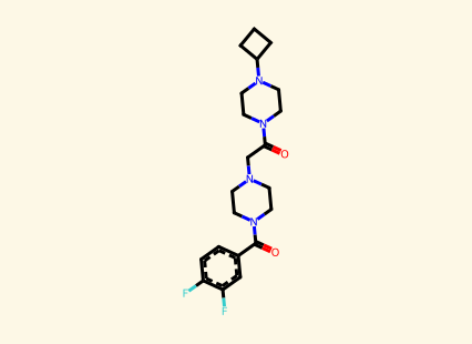 O=C(CN1CCN(C(=O)c2ccc(F)c(F)c2)CC1)N1CCN(C2CCC2)CC1